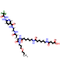 CCCOCCCNC(=O)[C@H](CCC(=O)NCCNC(=O)c1ccc(NNC(=O)C(F)(F)F)nc1)NC(=O)CCCCCNC(=O)CCCCCNC(=O)CCC(=O)O